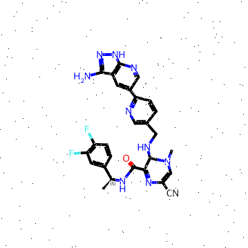 C[C@H](NC(=O)C1=NC(C#N)=CN(C)C1NCc1ccc(-c2cnc3[nH]nc(N)c3c2)nc1)c1ccc(F)c(F)c1